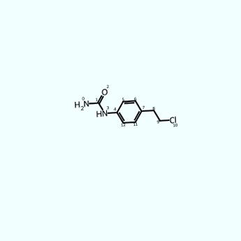 NC(=O)Nc1ccc(CCCl)cc1